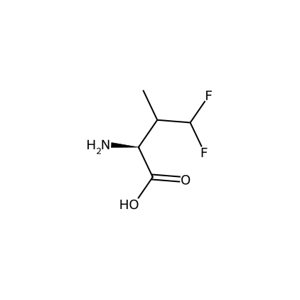 CC(C(F)F)[C@H](N)C(=O)O